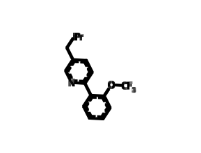 CC(C)Cc1ccc(-c2ccccc2OC(F)(F)F)nc1